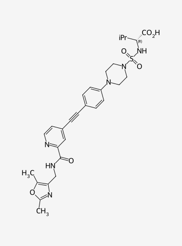 Cc1nc(CNC(=O)c2cc(C#Cc3ccc(N4CCN(S(=O)(=O)N[C@@H](C(=O)O)C(C)C)CC4)cc3)ccn2)c(C)o1